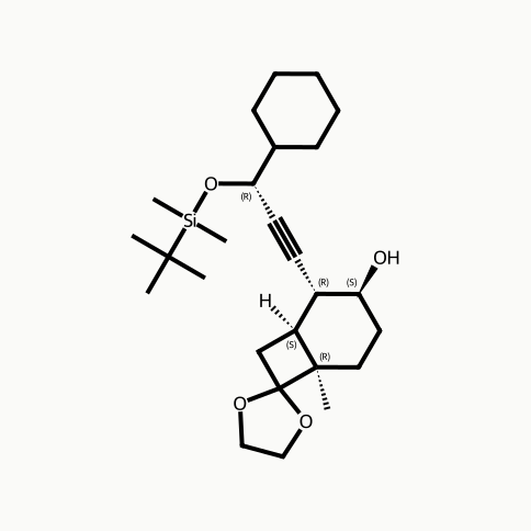 CC(C)(C)[Si](C)(C)O[C@@H](C#C[C@@H]1[C@@H](O)CC[C@]2(C)[C@H]1CC21OCCO1)C1CCCCC1